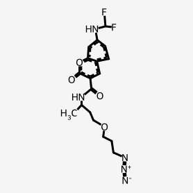 CC(CCOCCCN=[N+]=[N-])NC(=O)c1cc2ccc(NC(F)F)cc2oc1=O